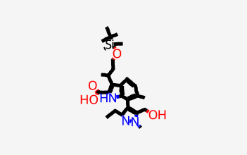 CCc1nn(C)c(CO)c1-c1c(C)ccc2c(C(C)CCO[Si](C)(C)C(C)(C)C)c(C(=O)O)[nH]c12